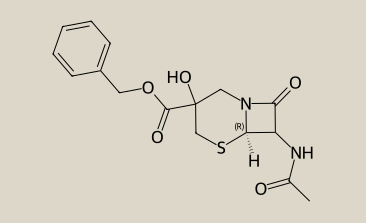 CC(=O)NC1C(=O)N2CC(O)(C(=O)OCc3ccccc3)CS[C@H]12